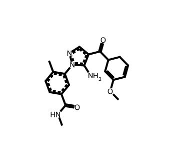 CNC(=O)c1ccc(C)c(-n2ncc(C(=O)C3C=C(OC)C=CC3)c2N)c1